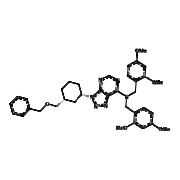 COc1ccc(CN(Cc2ccc(OC)cc2OC)c2ncnc3c2nnn3[C@H]2CCC[C@@H](COCc3ccccc3)C2)c(OC)c1